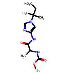 CC(NC(=O)OC(C)(C)C)C(=O)Nc1cn(C(C)(C)CC(=O)O)cn1